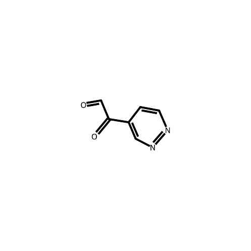 O=CC(=O)c1ccnnc1